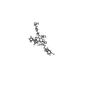 CCOC1OC(C(=O)NCCc2nc3ccc(C)cc3s2)=C[C@H](c2c(C)n(C)n(-c3ccccc3)c2=O)C1CCOCCOCCCO